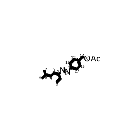 C=CC(=C\C=C(C)C)/N=N/c1ccc(COC(C)=O)cc1